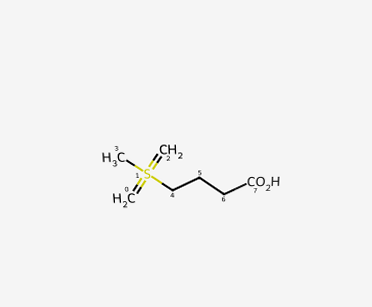 C=S(=C)(C)CCCC(=O)O